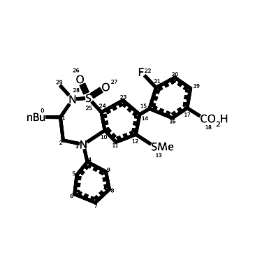 CCCCC1CN(c2ccccc2)c2cc(SC)c(-c3cc(C(=O)O)ccc3F)cc2S(=O)(=O)N1C